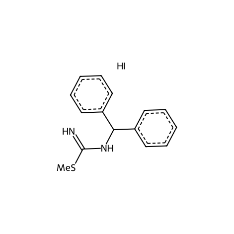 CSC(=N)NC(c1ccccc1)c1ccccc1.I